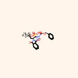 CCCC(C(NC(=O)OCc1ccccc1)P(=O)(O)OC)N1C(=O)c2ccccc2C1=O